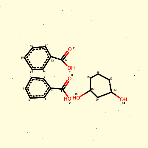 O=C(O)c1ccccc1.O=C(O)c1ccccc1.OC1CCCC(O)C1